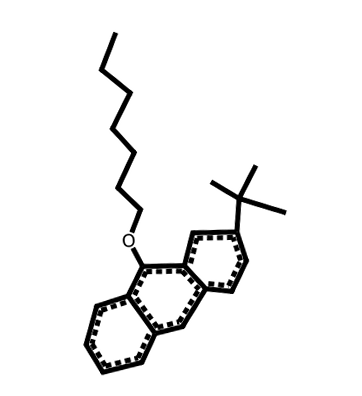 CCCCCCCOc1c2ccccc2cc2ccc(C(C)(C)C)cc12